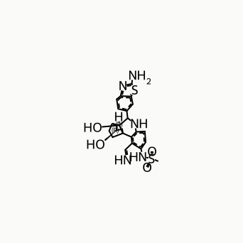 CS(=O)(=O)Nc1ccc2c(c1C=N)C13CCC(C(O)[C@H](O)C1)[C@H]3C(c1ccc3nc(N)sc3c1)N2